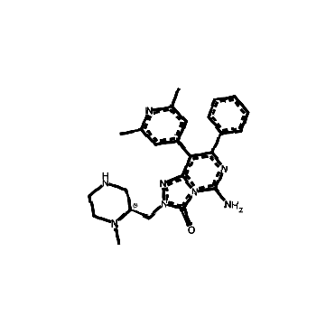 Cc1cc(-c2c(-c3ccccc3)nc(N)n3c(=O)n(C[C@@H]4CNCCN4C)nc23)cc(C)n1